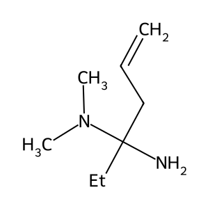 C=CCC(N)(CC)N(C)C